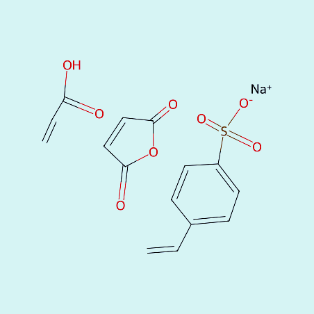 C=CC(=O)O.C=Cc1ccc(S(=O)(=O)[O-])cc1.O=C1C=CC(=O)O1.[Na+]